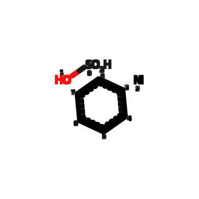 O=S(=O)(O)O.[Ni].c1ccccc1